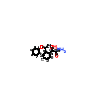 CCC(Oc1ccccc1)c1ccccc1C(O)C(N)=O